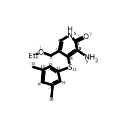 CCOCc1c[nH]c(=O)c(N)c1Sc1cc(C)cc(C)c1